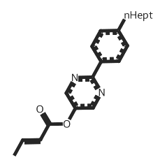 CC=CC(=O)Oc1cnc(-c2ccc(CCCCCCC)cc2)nc1